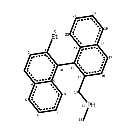 CCc1ccc2ccccc2c1-c1c(CPC)ccc2ccccc12